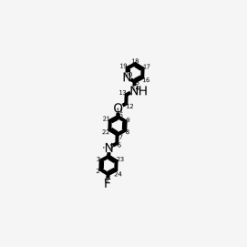 Fc1ccc([N]Cc2ccc(OCCNc3ccccn3)cc2)cc1